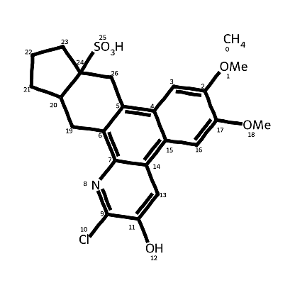 C.COc1cc2c3c(c4nc(Cl)c(O)cc4c2cc1OC)CC1CCCC1(S(=O)(=O)O)C3